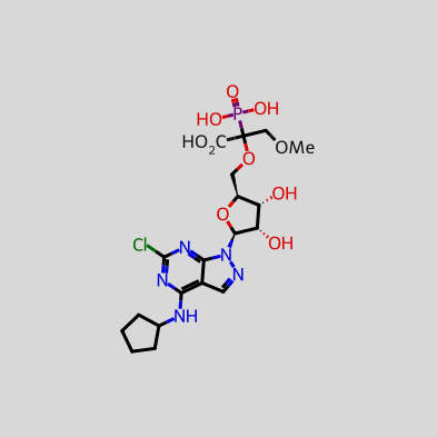 COCC(OC[C@@H]1O[C@H](n2ncc3c(NC4CCCC4)nc(Cl)nc32)[C@@H](O)[C@H]1O)(C(=O)O)P(=O)(O)O